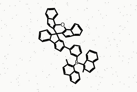 Cc1ccc2ccccc2c1B(c1cccc(-c2ccc3c(c2)C2(c4ccccc4-3)c3ccc4ccccc4c3Oc3c2ccc2ccccc32)c1)c1c(C)ccc2ccccc12